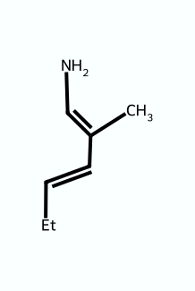 CCC=CC(C)=CN